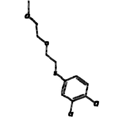 COCCOCCSc1ccc(Cl)c(Cl)c1